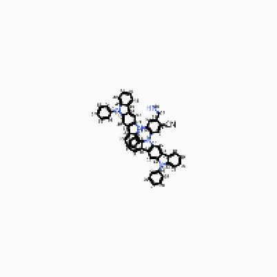 N#Cc1cc(-n2c3ccccc3c3cc4c(cc32)c2ccccc2n4-c2ccccc2)c(-n2c3ccccc3c3cc4c(cc32)c2ccccc2n4-c2ccccc2)cc1C=N